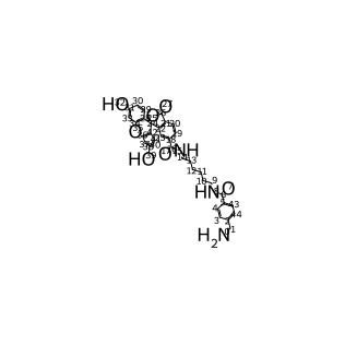 NCc1ccc(C(=O)NCCCCCCNC(=O)c2ccc3c(c2)C2(OC3=O)c3ccc(O)cc3Oc3cc(O)ccc32)cc1